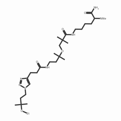 CCOC(C)(C)CCn1cc(CCC(=O)NCCC(C)(C)OCC(C)(C)C(=O)NCCCCC(NC)C(N)=O)nn1